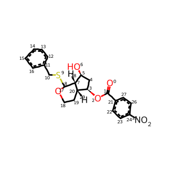 O=C(O[C@@H]1C[C@H](O)[C@H]2C(SCc3ccccc3)OCC[C@H]21)c1ccc([N+](=O)[O-])cc1